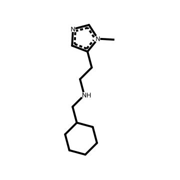 Cn1cncc1CCNCC1CCCCC1